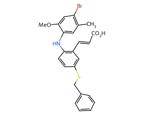 COc1cc(Br)c(C)cc1Nc1ccc(SCc2ccccc2)cc1C=CC(=O)O